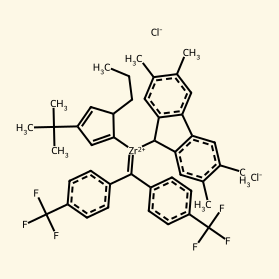 CCCC1C=C(C(C)(C)C)C=[C]1[Zr+2](=[C](c1ccc(C(F)(F)F)cc1)c1ccc(C(F)(F)F)cc1)[CH]1c2cc(C)c(C)cc2-c2cc(C)c(C)cc21.[Cl-].[Cl-]